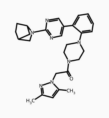 Cc1cc(C)n(CC(=O)N2CCN(c3ccccc3-c3cnc(N4CC5CCC4C5)nc3)CC2)n1